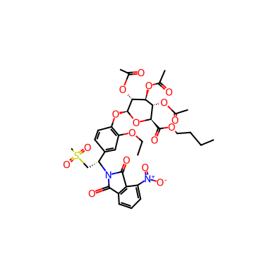 CCCCOC(=O)[C@H]1O[C@@H](Oc2ccc([C@@H](CS(C)(=O)=O)N3C(=O)c4cccc([N+](=O)[O-])c4C3=O)cc2OCC)[C@H](OC(C)=O)[C@@H](OC(C)=O)[C@@H]1OC(C)=O